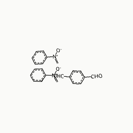 C=[N+]([O-])c1ccccc1.C=[N+]([O-])c1ccccc1.O=Cc1ccc(C=O)cc1